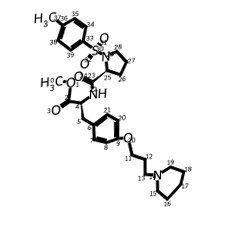 COC(=O)[C@H](Cc1ccc(OCCCN2CCCCC2)cc1)NC(=O)[C@@H]1CCCN1S(=O)(=O)c1ccc(C)cc1